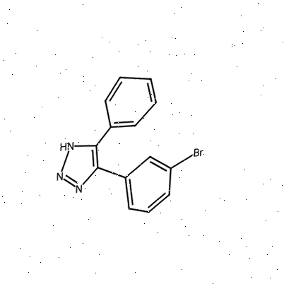 Brc1cccc(-c2nn[nH]c2-c2ccccc2)c1